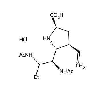 C=C[C@@H]1C[C@H](C(=O)O)N[C@H]1[C@@H](NC(C)=O)C(CC)NC(C)=O.Cl